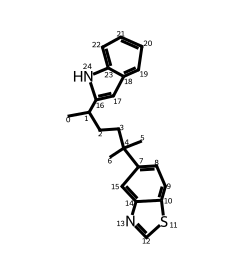 CC(CCC(C)(C)c1ccc2scnc2c1)c1cc2ccccc2[nH]1